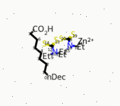 CCCCCCCCCCCCCCCCCC(=O)O.CCN(CC)C(=S)[S-].CCN(CC)C(=S)[S-].[Zn+2]